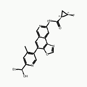 CCC(O)c1cc(C)c(-c2cc3cnc(NC(=O)[C@H]4C[C@H]4F)cc3c3ncoc23)cn1